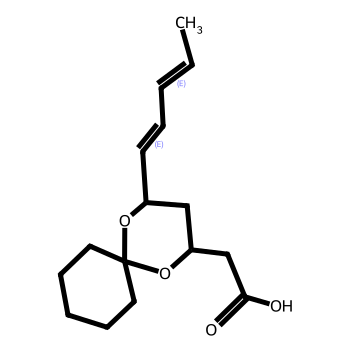 C/C=C/C=C/C1CC(CC(=O)O)OC2(CCCCC2)O1